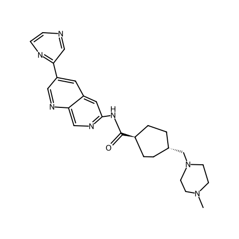 CN1CCN(C[C@H]2CC[C@H](C(=O)Nc3cc4cc(-c5cnccn5)cnc4cn3)CC2)CC1